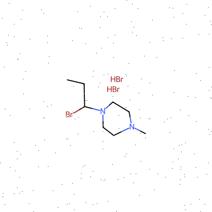 Br.Br.CCC(Br)N1CCN(C)CC1